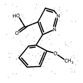 COc1ccccc1-c1nnccc1C(=O)O